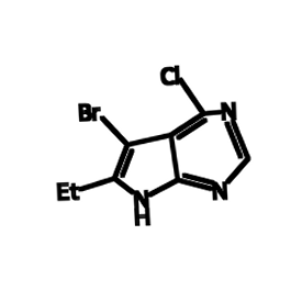 CCc1[nH]c2ncnc(Cl)c2c1Br